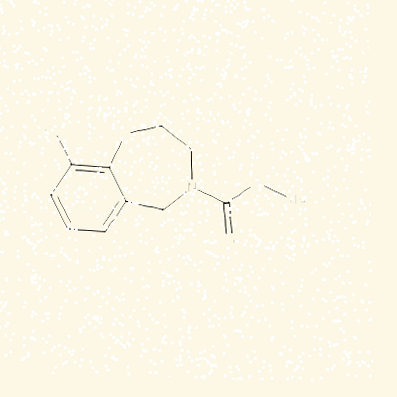 CC(C)(C)OC(=O)N1CCSc2c(Cl)cccc2C1